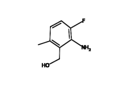 Cc1ccc(F)c(N)c1CO